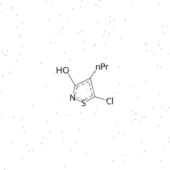 CCCc1c(O)nsc1Cl